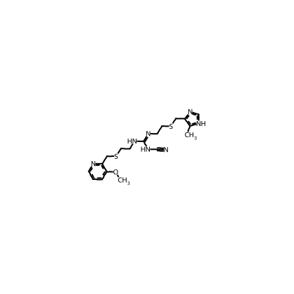 COc1cccnc1CSCCN/C(=N/CCSCc1nc[nH]c1C)NC#N